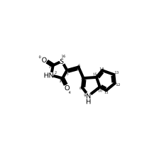 O=C1NC(=O)/C(=C\c2c[nH]c3ccccc23)S1